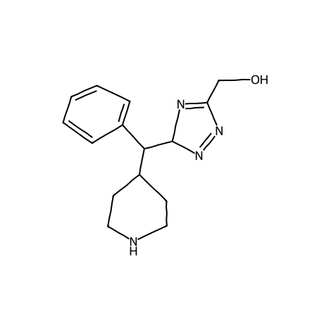 OCC1=NC(C(c2ccccc2)C2CCNCC2)N=N1